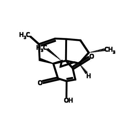 CC1=CC2C[C@H](C)[C@H]3CC[C@H](C)[C@]4(C1)C(=O)C(O)=CC(=O)C234